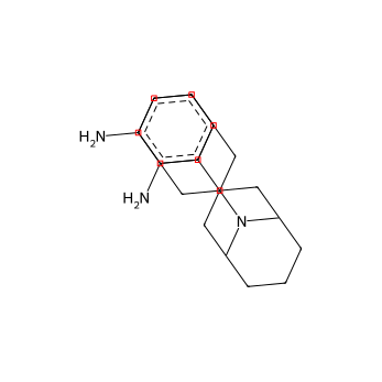 Nc1cccc(C2CC3CCCC(C2)N3C2CC3CCCC(C3)C2)c1N